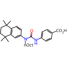 CCCCCCCCN(C(=O)Nc1ccc(C(=O)O)cc1)c1ccc2c(c1)C(C)(C)CCC2(C)C